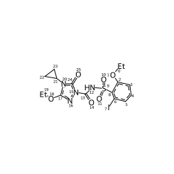 CCOc1cccc(I)c1S(=O)(=O)NC(=O)n1nc(OCC)n(C2CC2)c1=O